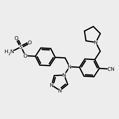 N#Cc1ccc(N(Cc2ccc(OS(N)(=O)=O)cc2)n2cnnc2)cc1CN1CCCC1